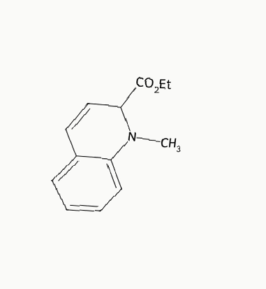 CCOC(=O)C1C=Cc2ccccc2N1C